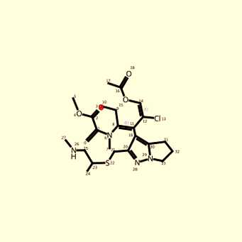 C=C(C(=O)OC)N(C)/C(CC)=C(/C(Cl)=C\OC(C)=O)c1c(CSC(C)CNC)nn2c1CCC2